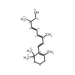 CC(C=CC1=C(C)CCCC1(C)C)=CC=CC(C)CO